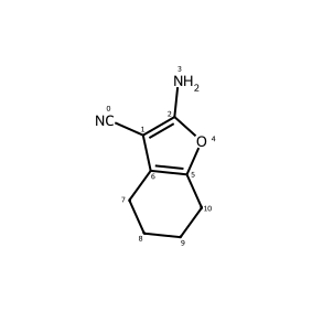 N#Cc1c(N)oc2c1CCCC2